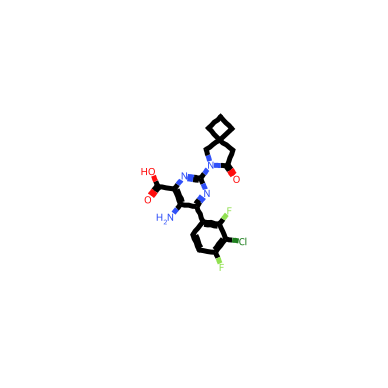 Nc1c(C(=O)O)nc(N2CC3(CCC3)CC2=O)nc1-c1ccc(F)c(Cl)c1F